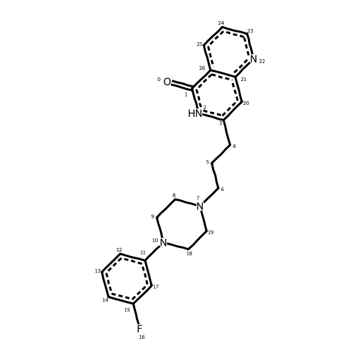 O=c1[nH]c(CCCN2CCN(c3cccc(F)c3)CC2)cc2ncccc12